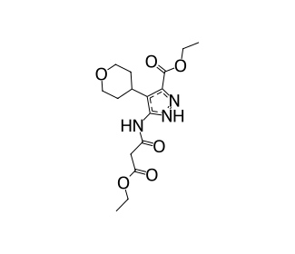 CCOC(=O)CC(=O)Nc1[nH]nc(C(=O)OCC)c1C1CCOCC1